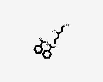 CCCC(O)CCO.O=C(O)c1ccccc1.O=C(O)c1ccccc1